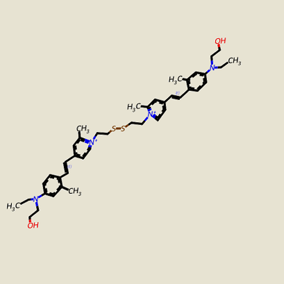 CCN(CCO)c1ccc(/C=C/c2cc[n+](CCSSCC[n+]3ccc(/C=C/c4ccc(N(CC)CCO)cc4C)cc3C)c(C)c2)c(C)c1